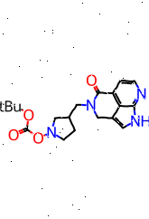 CC(C)(C)OC(=O)ON1CCC(CN2Cc3c[nH]c4nccc(c34)C2=O)C1